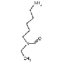 CCN(C=O)CCCCCN